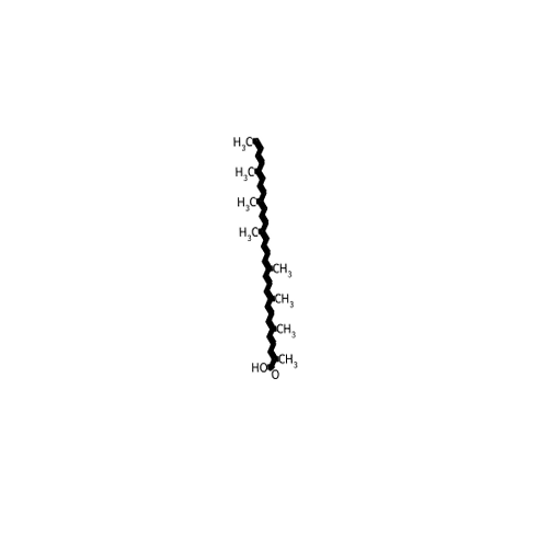 C\C=C/C=C/C(C)=C/C=C/C(C)=C/C=C/C(C)=C/C=C/C=C(C)/C=C/C=C(C)/C=C/C=C(C)/C=C/C=C(\C)C(=O)O